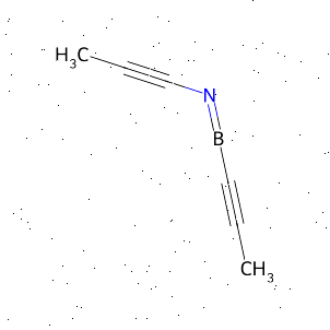 CC#C/B=N/C#CC